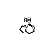 C1=NCCCN1.CCC.Cl.Cl